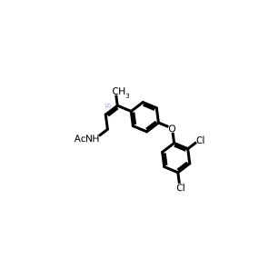 CC(=O)NC/C=C(/C)c1ccc(Oc2ccc(Cl)cc2Cl)cc1